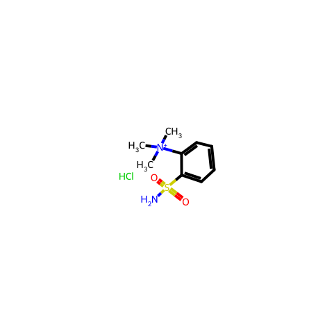 C[N+](C)(C)c1ccccc1S(N)(=O)=O.Cl